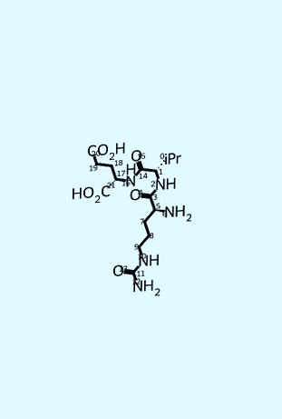 CC(C)[C@H](NC(=O)[C@@H](N)CCCNC(N)=O)C(=O)N[C@@H](CCC(=O)O)C(=O)O